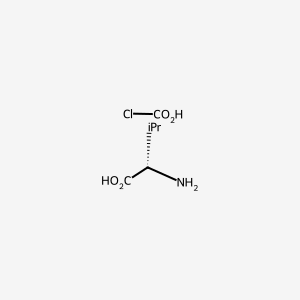 CC(C)[C@H](N)C(=O)O.O=C(O)Cl